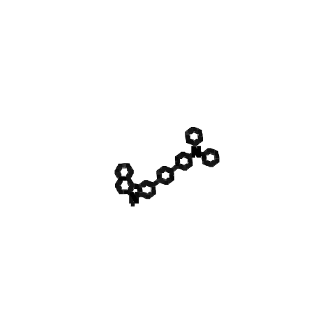 Cn1c2ccc(-c3ccc(-c4ccc(N(c5ccccc5)c5ccccc5)cc4)cc3)cc2c2c3ccccc3ccc21